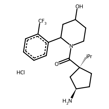 CC(C)[C@]1(C(=O)N2CCC(O)CC2c2ccccc2C(F)(F)F)CC[C@@H](N)C1.Cl